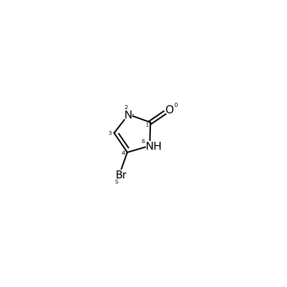 O=C1[N]C=C(Br)N1